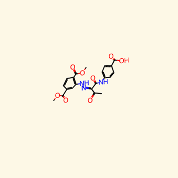 COC(=O)c1ccc(C(=O)OC)c(N/N=C(/C(C)=O)C(=O)Nc2ccc(C(=O)O)cc2)c1